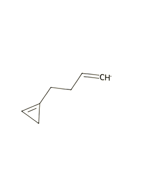 [CH]=CCCC1=CC1